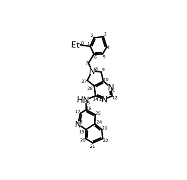 CCc1ccccc1CN1Cc2ncnc(Nc3cnc4ccccc4c3)c2C1